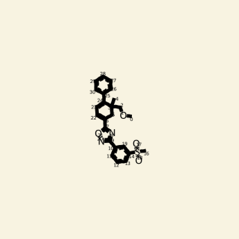 COCC1(C)CC(c2nc(-c3cccc(S(C)(=O)=O)c3)no2)=CC=C1c1ccccc1